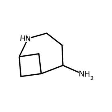 NC1CCNC2CC1C2